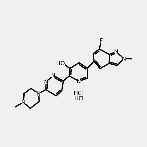 CN1CCN(c2ccc(-c3ncc(-c4cc(F)c5nn(C)cc5c4)cc3O)nn2)CC1.Cl.Cl